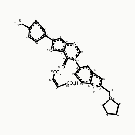 Cc1ccc(-c2cc3ncn(-c4ccc5oc(CN6CCCC6)cc5c4)c(=O)c3s2)cc1.O=C(O)/C=C\C(=O)O